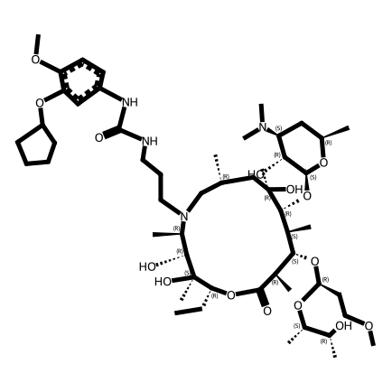 CC[C@H]1OC(=O)[C@H](C)[C@@H](O[C@@H](CCOC)O[C@@H](C)[C@@H](C)O)[C@H](C)[C@@H](O[C@@H]2O[C@H](C)C[C@H](N(C)C)[C@H]2O)[C@](C)(O)C[C@@H](C)CN(CCCNC(=O)Nc2ccc(OC)c(OC3CCCC3)c2)[C@H](C)[C@@H](O)[C@]1(C)O